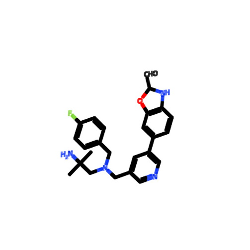 CC(C)(N)CN(Cc1ccc(F)cc1)Cc1cncc(-c2ccc3c(c2)OC(C=O)N3)c1